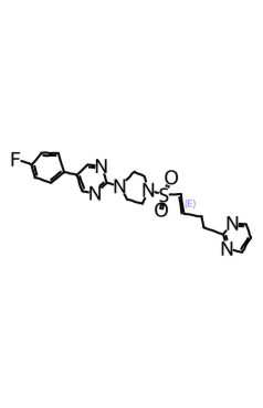 O=S(=O)(/C=C/CCc1ncccn1)N1CCN(c2ncc(-c3ccc(F)cc3)cn2)CC1